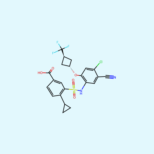 N#Cc1cc(NS(=O)(=O)c2cc(C(=O)O)ccc2C2CC2)c(O[C@H]2C[C@H](C(F)(F)F)C2)cc1Cl